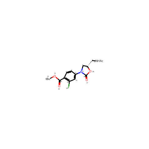 CC(=O)NC[C@H]1CN(c2ccc(C(=O)OC(C)(C)C)c(F)c2)C(=O)O1